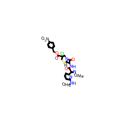 CON=C(C(=O)NC1C(=O)N2CC(Cl)(C(=O)OCc3ccc([N+](=O)[O-])cc3)CS[C@H]12)c1cccc(NC=O)n1